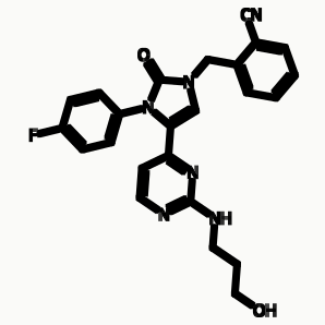 N#Cc1ccccc1Cn1cc(-c2ccnc(NCCCO)n2)n(-c2ccc(F)cc2)c1=O